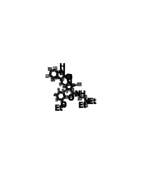 CCOc1cccc(-c2c(/C=C3\C(=O)Nc4ccccc43)[nH]c(C)c2C(=O)NCCN(CC)CC)c1